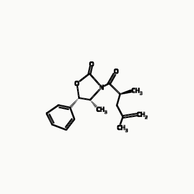 C=C(C)C[C@H](C)C(=O)N1C(=O)O[C@@H](c2ccccc2)[C@H]1C